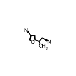 CC(CC#N)c1cc(C#N)co1